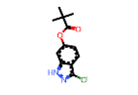 CC(C)(C)C(=O)Oc1ccc2c(Cl)n[nH]c2c1